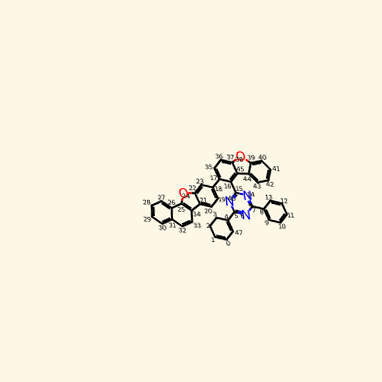 C1=CCCC(c2nc(-c3ccccc3)nc(-c3c(-c4ccc5c(c4)oc4c6ccccc6ccc54)ccc4oc5ccccc5c34)n2)=C1